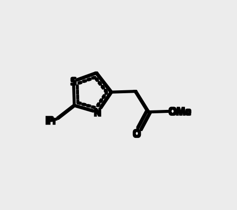 COC(=O)Cc1csc(C(C)C)n1